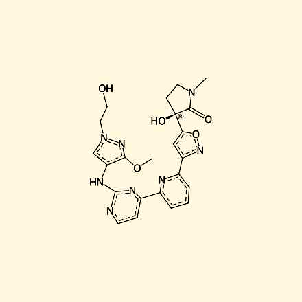 COc1nn(CCO)cc1Nc1nccc(-c2cccc(-c3cc([C@]4(O)CCN(C)C4=O)on3)n2)n1